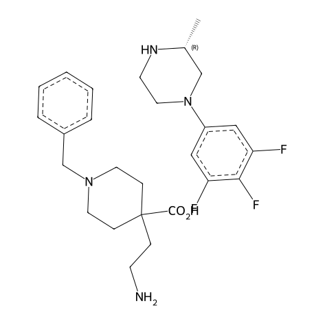 C[C@@H]1CN(c2cc(F)c(F)c(F)c2)CCN1.NCCC1(C(=O)O)CCN(Cc2ccccc2)CC1